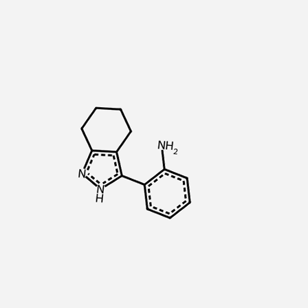 Nc1ccccc1-c1[nH]nc2c1CCCC2